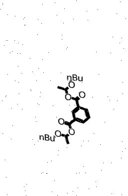 CCCCOC(C)OC(=O)c1cccc(C(=O)OC(C)OCCCC)c1